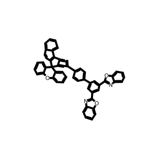 c1ccc2c(c1)Oc1ccccc1C21c2cc(-c3ccc(-c4cc(-c5nc6ccccc6o5)cc(-c5nc6ccccc6o5)c4)cc3)ccc2-c2c1ccc1ccccc21